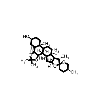 C[C@@H]1CC[C@@]2(OC1)O[C@H]1C[C@H]3[C@@H]4[C@H]5OC(C)(C)O[C@@H]5[C@H]5C[C@@H](O)CC[C@]5(C)[C@H]4CC[C@]3(C)[C@H]1[C@@H]2C